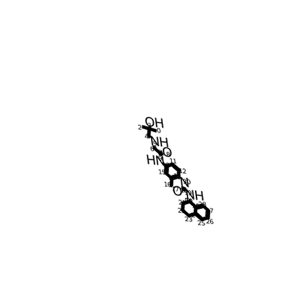 CC(C)(O)CNCC(=O)Nc1ccc2c(c1)COC(N[C@@H]1CCCc3ccccc31)=N2